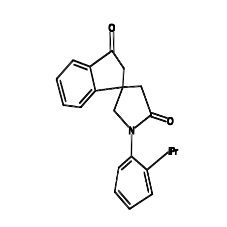 CC(C)c1ccccc1N1CC2(CC(=O)c3ccccc32)CC1=O